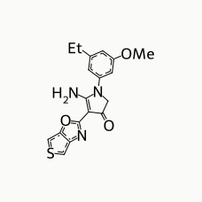 CCc1cc(OC)cc(N2CC(=O)C(c3nc4cscc4o3)=C2N)c1